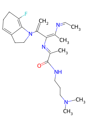 C=C(C(/N=C(\C)C(=O)NCCCN(C)C)=C(C)\N=C/C)N1CCC2=CCCC(F)=C21